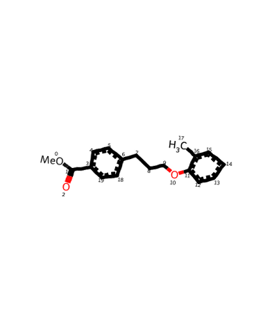 COC(=O)c1ccc(CCCOc2ccccc2C)cc1